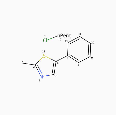 CCCCCCl.Cc1ncc(-c2ccccc2)s1